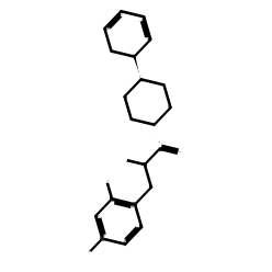 CCOC(=O)C(Cc1ccc(F)cc1Cl)C(=O)[C@H]1CC[C@H](C2C=CC=CC2)CC1